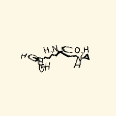 NC(CCCCB(O)O)(CCNC1CC1)C(=O)O